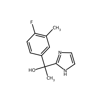 Cc1cc(C(C)(O)c2ncc[nH]2)ccc1F